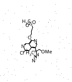 COC[C@@](C)(N=[N+]=[N-])c1cnc(OCCCS(C)(=O)=O)c2cnc(Cl)cc12